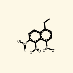 C[CH]c1ccc([N+](=O)[O-])c2c([N+](=O)[O-])c([N+](=O)[O-])ccc12